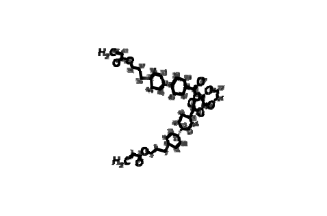 C=CC(=O)OCCC[C@H]1CC[C@H](C2CCC(C(=O)O[C@H]3OCCO[C@@H]3OC(=O)C3CCC([C@H]4CC[C@H](CCCOC(=O)C=C)CC4)CC3)CC2)CC1